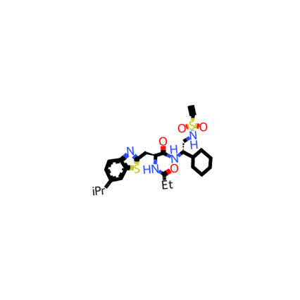 C#CS(=O)(=O)NC[C@@H](NC(=O)[C@H](Cc1nc2ccc(C(C)C)cc2s1)NC(=O)CC)C1CCCCC1